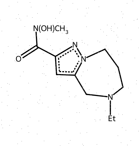 CCN1CCCn2nc(C(=O)N(C)O)cc2C1